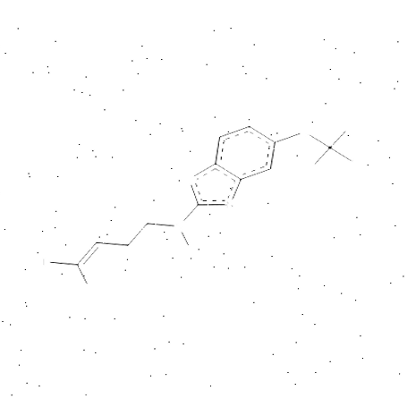 [O-][S+](CCC=C(F)F)c1nc2cc(SC(F)(F)F)ccc2s1